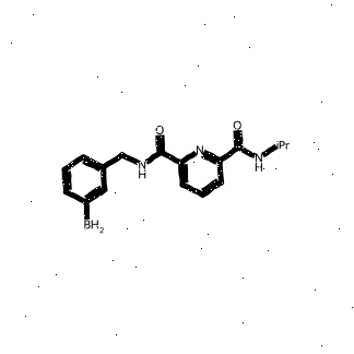 Bc1cccc(CNC(=O)c2cccc(C(=O)NC(C)C)n2)c1